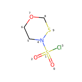 O=S(=O)(Cl)N1CCOCS1